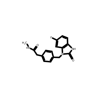 CNC(=O)Cc1ccc(Cn2c(=O)[nH]c3ccc(F)cc32)cc1